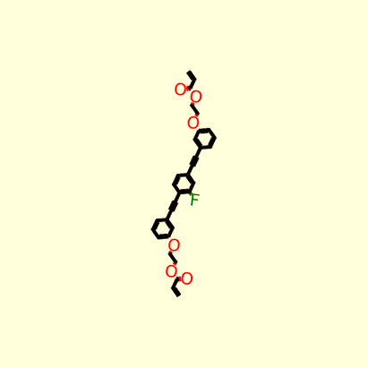 C=CC(=O)OCCOc1cccc(C#Cc2ccc(C#Cc3cccc(OCCOC(=O)C=C)c3)c(F)c2)c1